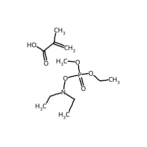 C=C(C)C(=O)O.CCOP(=O)(OC)ON(CC)CC